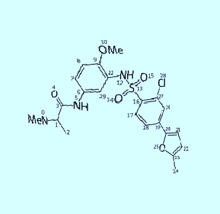 CNC(C)C(=O)Nc1ccc(OC)c(NS(=O)(=O)c2ccc(-c3ccc(C)o3)cc2Cl)c1